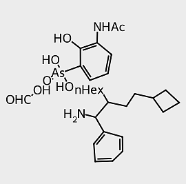 CC(=O)Nc1cccc([As](=O)(O)O)c1O.CCCCCCC(CCC1CCC1)C(N)c1ccccc1.O=CO